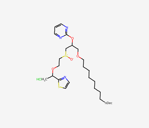 CCCCCCCCCCCCCCCCCCOCC(C[S+]([O-])CCOC(C)c1nccs1)Oc1ncccn1.Cl